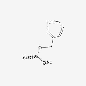 CC(=O)O[SiH](OCc1ccccc1)OC(C)=O